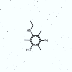 [2H]c1c(C)c(O)c(C)c(NCC)c1C